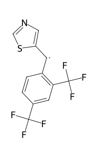 FC(F)(F)c1ccc([CH]c2cncs2)c(C(F)(F)F)c1